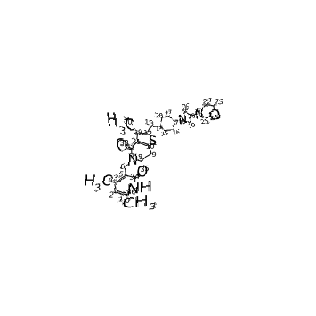 Cc1cc(C)c(CN2CCc3sc(CC4CCC(N5CC(N6CCOC6)C5)CC4)c(C)c3C2=O)c(=O)[nH]1